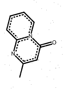 Cc1[c]c(=O)n2ccccc2n1